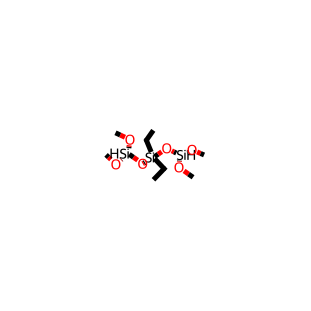 CC[Si](CC)(O[SiH](OC)OC)O[SiH](OC)OC